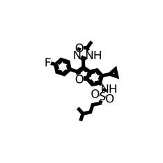 CC(C)CCCS(=O)(=O)Nc1cc2oc(-c3ccc(F)cc3)c(C3=NOC(C)N3)c2cc1C1CC1